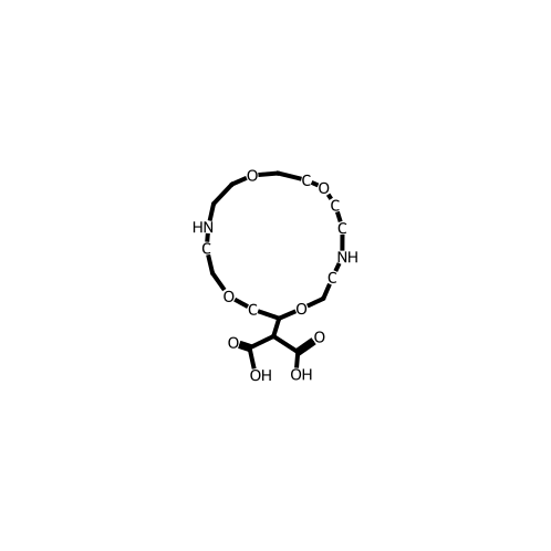 O=C(O)C(C(=O)O)C1COCCNCCOCCOCCNCCO1